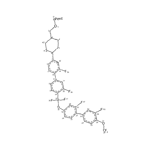 CCCCCOCC1CCC(c2ccc(-c3ccc(C(F)(F)Oc4ccc(-c5ccc(OC(F)(F)F)c(F)c5)c(F)c4)c(F)c3)c(F)c2)SC1